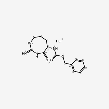 Cl.N=C1NCCC[C@H](NC(=O)OCc2ccccc2)C(=O)N1